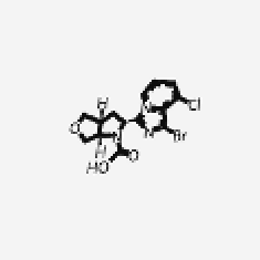 O=C(O)N1[C@@H]2COC[C@@H]2C[C@H]1c1nc(Br)c2c(Cl)cccn12